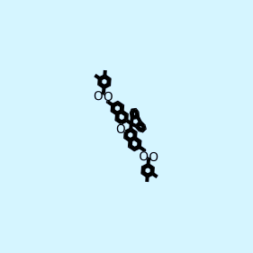 Cc1ccc(C(=O)OCc2ccc3cc4c(cc3c2)Oc2cc3ccc(COC(=O)c5ccc(C)c(C)c5)cc3cc2C42c3ccccc3-c3ccccc32)cc1C